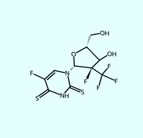 OC[C@H]1O[C@@H](n2cc(F)c(=S)[nH]c2=S)[C@@](F)(C(F)(F)F)C1O